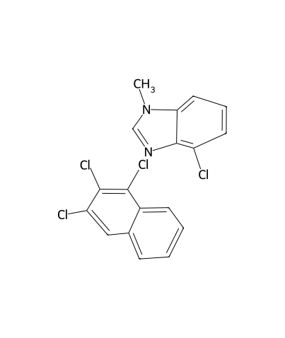 Clc1cc2ccccc2c(Cl)c1Cl.Cn1cnc2c(Cl)cccc21